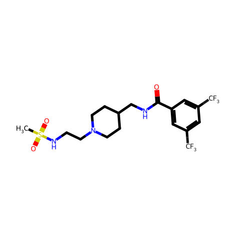 CS(=O)(=O)NCCN1CCC(CNC(=O)c2cc(C(F)(F)F)cc(C(F)(F)F)c2)CC1